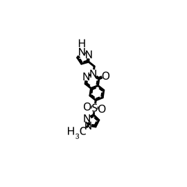 Cn1ccc(S(=O)(=O)c2ccc3c(=O)n(Cc4cc[nH]n4)ncc3c2)n1